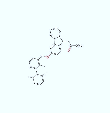 COC(=O)CC1c2ccccc2-c2cc(OCc3cccc(-c4c(C)cccc4C)c3C)ccc21